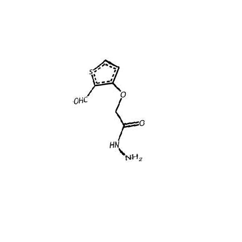 NNC(=O)COc1ccsc1[C]=O